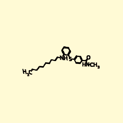 CCCCCCCCCCNc1ccccc1Sc1ccc(C(=O)NC)cc1